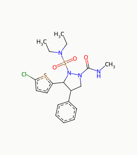 CCN(CC)S(=O)(=O)N1C(c2ccc(Cl)s2)C(c2ccccc2)CN1C(=O)NC